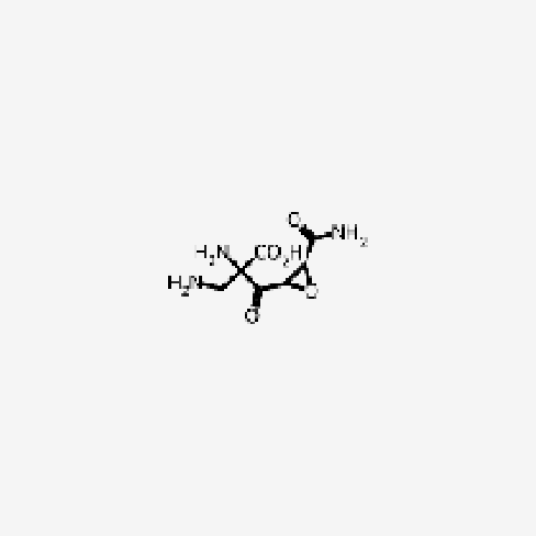 NCC(N)(C(=O)O)C(=O)C1O[C@@H]1C(N)=O